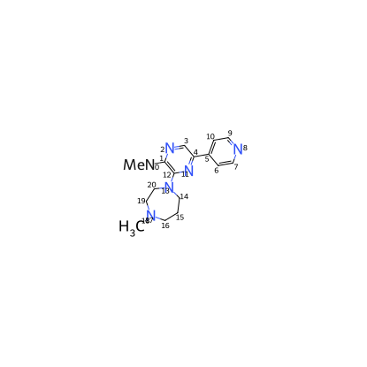 CNc1ncc(-c2ccncc2)nc1N1CCCN(C)CC1